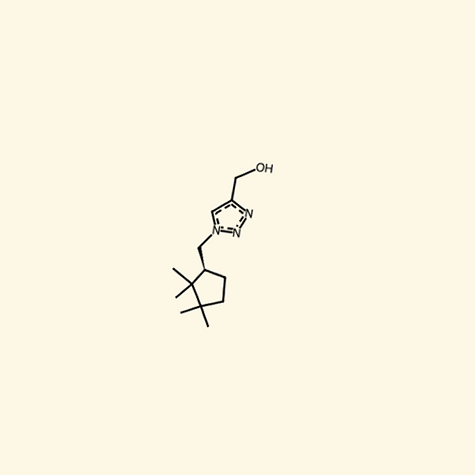 CC1(C)CC[C@H](Cn2cc(CO)nn2)C1(C)C